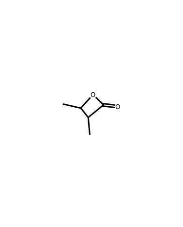 CC1OC(=O)C1C